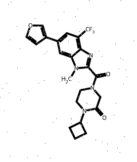 Cn1c(C(=O)N2CCN(C3CCC3)C(=O)C2)nc2c(C(F)(F)F)cc(-c3ccoc3)cc21